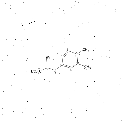 CCOC(=O)C(Oc1ccc(C)c(C)c1)C(C)C